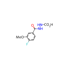 COc1cc(C(=O)NNC(=O)O)ccc1F